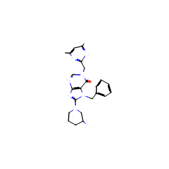 Cc1cc(C)nc(Cn2cnc3nc(N4CCCC(N)C4)n(Cc4ccccc4)c3c2=O)n1